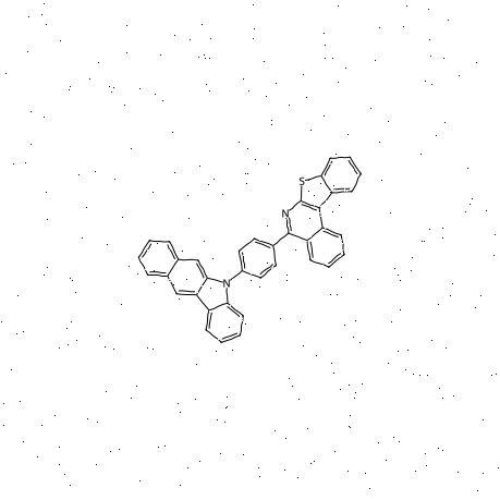 c1ccc2cc3c(cc2c1)c1ccccc1n3-c1ccc(-c2nc3sc4ccccc4c3c3ccccc23)cc1